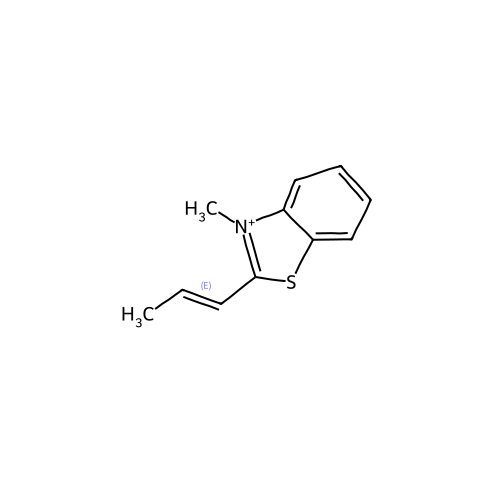 C/C=C/c1sc2ccccc2[n+]1C